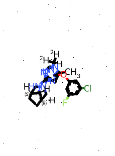 [2H]C([2H])([2H])n1nc(N[C@@H]2[C@@H]3CC[C@H]2CN(c2cc(C)ncn2)C3)nc1Oc1cc(F)cc(Cl)c1